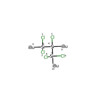 CCC(C)[Si](Cl)(Cl)[Si](Cl)(C(C)CC)[Si](Cl)(Cl)C(C)CC